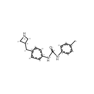 Cc1ccc(NC(=O)Nc2ccc(CC3CNC3)cc2)cc1